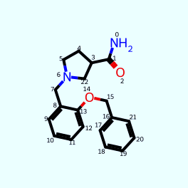 NC(=O)C1CCN(Cc2ccccc2OCc2ccccc2)C1